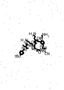 Cc1nc(-c2ccc(C(C)(C)C)cc2)nc(C)c1C(=O)NC(CCN)C(=O)N(C)C1C(=O)NC(C)C(=O)NC(C(=O)NCC#N)Cc2ccc(OCCN)c(c2)-c2cc1cc(CCCN)c2O